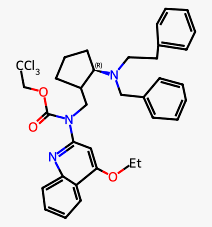 CCOc1cc(N(CC2CCC[C@H]2N(CCc2ccccc2)Cc2ccccc2)C(=O)OCC(Cl)(Cl)Cl)nc2ccccc12